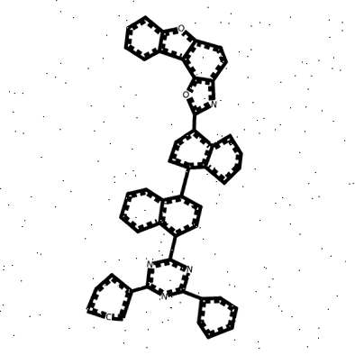 c1ccc(-c2nc(-c3ccccc3)nc(-c3ccc(-c4ccc(-c5nc6ccc7oc8ccccc8c7c6o5)c5ccccc45)c4ccccc34)n2)cc1